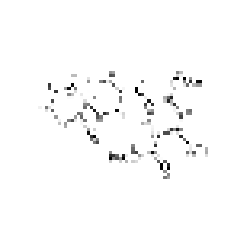 COC(=O)c1cc(O[C@H]2CC[C@@]3(CC2)NCCCC3=O)c(OC)cc1N